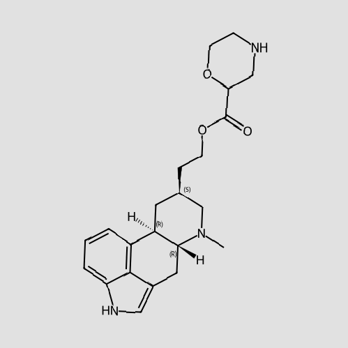 CN1C[C@H](CCOC(=O)C2CNCCO2)C[C@@H]2c3cccc4[nH]cc(c34)C[C@H]21